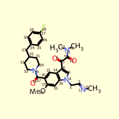 C/N=C/Cn1cc(C(=O)C(=O)N(C)C)c2cc(C(=O)N3CCC(Cc4ccc(F)cc4)CC3)c(OC)cc21